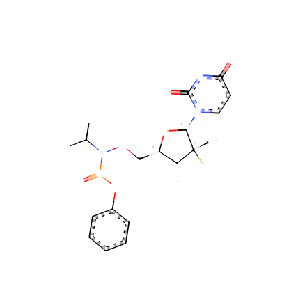 CCOC(=O)C(C)N(OC[C@H]1O[C@@H](n2ccc(=O)[nH]c2=O)[C@](C)(F)[C@@H]1O)[PH](=O)Oc1ccccc1